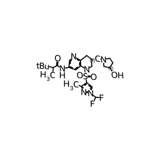 Cc1nn(C(F)F)cc1S(=O)(=O)N1C[C@@H](CN2CC[C@@H](O)C2)Cc2ncc(NC(=O)C(C)C(C)(C)C)cc21